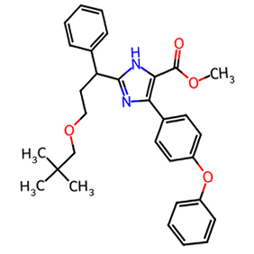 COC(=O)c1[nH]c(C(CCOCC(C)(C)C)c2ccccc2)nc1-c1ccc(Oc2ccccc2)cc1